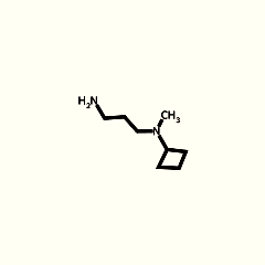 CN(CCCN)C1CCC1